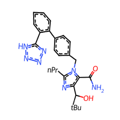 CCCc1nc(C(O)C(C)(C)C)c(C(N)=O)n1Cc1ccc(-c2ccccc2-c2nnn[nH]2)cc1